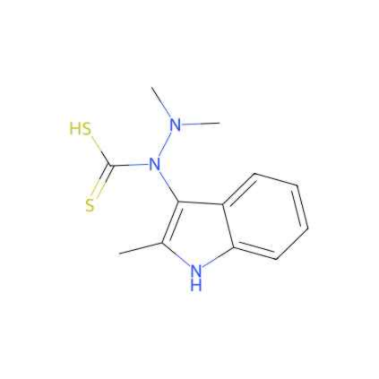 Cc1[nH]c2ccccc2c1N(C(=S)S)N(C)C